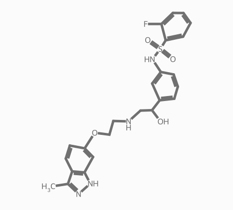 Cc1n[nH]c2cc(OCCNCC(O)c3cccc(NS(=O)(=O)c4ccccc4F)c3)ccc12